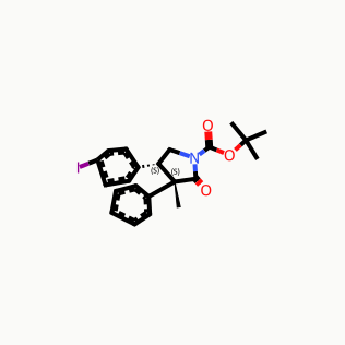 CC(C)(C)OC(=O)N1C[C@@H](c2ccc(I)cc2)[C@@](C)(c2ccccc2)C1=O